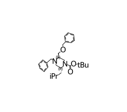 CC(C)C[C@@H]1CN(Cc2ccccc2)[C@@H](COCc2ccccc2)CN1C(=O)OC(C)(C)C